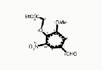 CCOC(=O)COc1c(OC)cc(C=O)cc1[N+](=O)[O-]